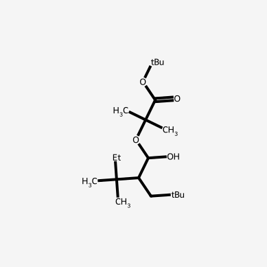 CCC(C)(C)C(CC(C)(C)C)C(O)OC(C)(C)C(=O)OC(C)(C)C